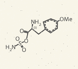 COc1ccc(C[C@H](N)C(=O)OS(N)(=O)=O)cc1